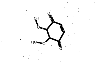 O=C1C=CC(=O)C(OO)C1OO